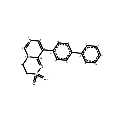 O=S1(=O)CCN2C=NC=C(c3ccc(-c4ccccc4)cc3)C2=N1